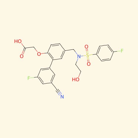 N#Cc1cc(F)cc(-c2cc(CN(CCO)S(=O)(=O)c3ccc(F)cc3)ccc2OCC(=O)O)c1